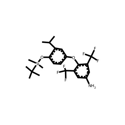 CC(C)c1cc(Oc2c(C(F)(F)F)cc(N)cc2C(F)(F)F)ccc1O[Si](C)(C)C(C)(C)C